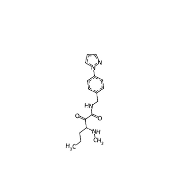 CCCC(NC)C(=O)C(=O)NCc1ccc(-n2cccn2)cc1